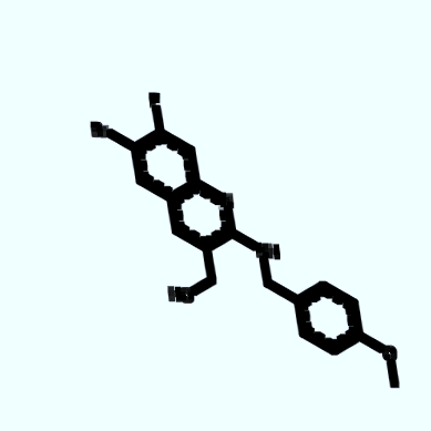 COc1ccc(CNc2nc3cc(F)c(Br)cc3cc2CO)cc1